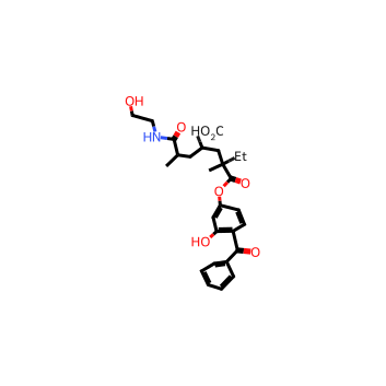 CCC(C)(CC(CC(C)C(=O)NCCO)C(=O)O)C(=O)Oc1ccc(C(=O)c2ccccc2)c(O)c1